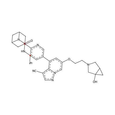 CC(C)CNC(=O)N1C2CC1CN(c1ccc(-c3cc(OCCN4CC5CC5(O)C4)cn4ncc(C#N)c34)cn1)C2